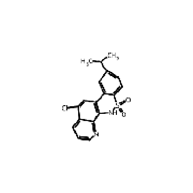 CC(C)c1ccc2c(c1)-c1cc(Cl)c3cccnc3c1NS2(=O)=O